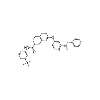 CN(Cc1ccccc1)c1cc(Oc2ccc3c(c2)CC(C(=O)Nc2cccc(C(C)(C)C)c2)CC3)ccn1